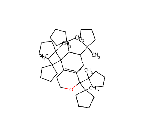 CC1(C2CC3=C(CCOC3(C3(C)CCCC3)C3(C)CCCC3)C(C3(C)CCCC3)(C3(C)CCCC3)C2C2(C)CCCC2)CCCC1